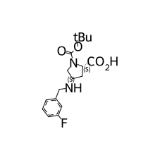 CC(C)(C)OC(=O)N1C[C@@H](NCc2cccc(F)c2)C[C@H]1C(=O)O